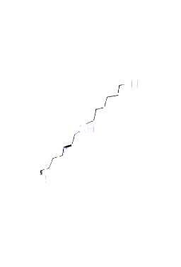 C=CCCC/C=C/CNCCCCCCCC